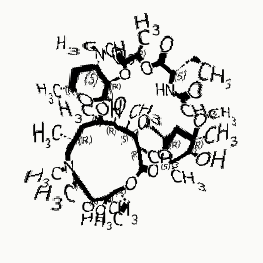 CC[C@H](NC(C)=O)C(=O)O[C@H](C)C(=O)O[C@H]1[C@H](O[C@@H]2[C@@H](C)[C@H](O[C@H]3C[C@@](C)(OC)[C@@H](O)[C@H](C)O3)[C@@H](C)C(=O)O[C@H](CC)[C@@](C)(O)[C@H](O)[C@@H](C)N(C)C[C@H](C)C[C@@]2(C)O)O[C@H](C)C[C@@H]1N(C)C